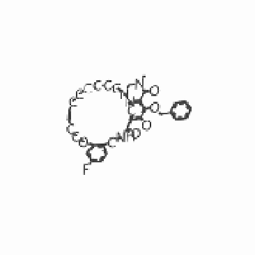 CN1CN2CCCCCC/C=C\CCOc3cc(F)ccc3CNC(=O)c3cn2c(c(OCc2ccccc2)c3=O)C1=O